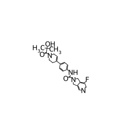 CC(C)(O)C(=O)N1CC=C(c2ccc(NC(=O)N3Cc4cncc(F)c4C3)cc2)CC1